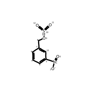 O=[N+]([O-])c1cccc([CH]O[SH](=O)=O)c1